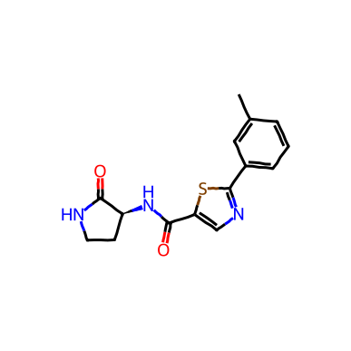 Cc1cccc(-c2ncc(C(=O)N[C@H]3CCNC3=O)s2)c1